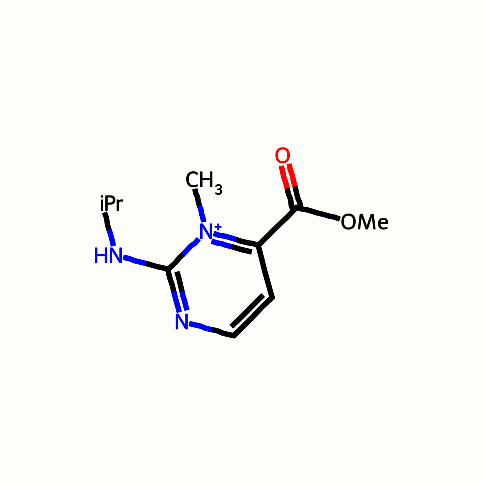 COC(=O)c1ccnc(NC(C)C)[n+]1C